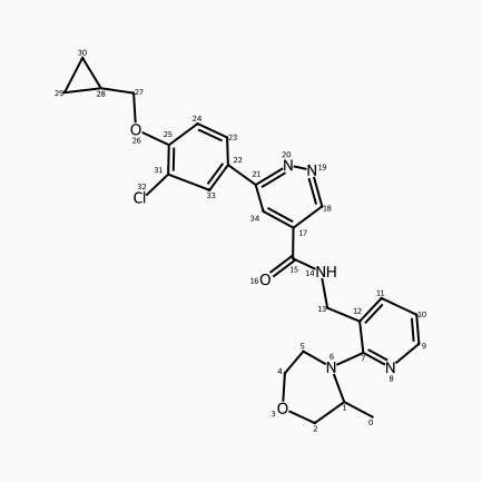 CC1COCCN1c1ncccc1CNC(=O)c1cnnc(-c2ccc(OCC3CC3)c(Cl)c2)c1